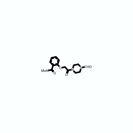 CNC(=O)c1ccccc1OCC(=O)N1CCN(C=O)CC1